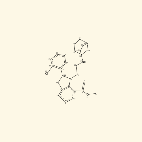 COC(=O)c1cccc2c1C(CCNC1CN3CCC1CC3)N(c1ccccc1Cl)C2